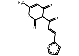 CC1=CC(=O)C(C(=O)C=Cc2cccs2)C(=O)O1